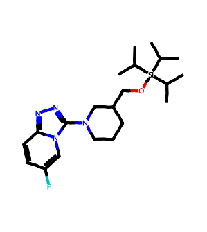 CC(C)[Si](OCC1CCCN(c2nnc3ccc(F)cn23)C1)(C(C)C)C(C)C